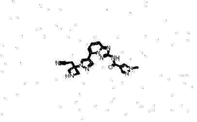 Cn1cc(C(=O)Nc2nc3cccc(-c4cnn(C5(CC#N)CNC5)c4)n3n2)cn1